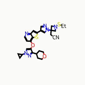 CCSN1CC(CC#N)(n2cc(-c3cc4nccc(Oc5cn(C6CC6)nc5C5CCOCC5)c4s3)cn2)C1